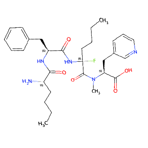 CCCC[C@H](N)C(=O)N[C@@H](Cc1ccccc1)C(=O)N[C@@](F)(CCCC)C(=O)N(C)[C@@H](Cc1cccnc1)C(=O)O